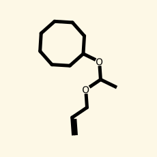 C=CCOC(C)OC1CCCCCCC1